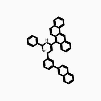 NC(N/C(=C\Cc1cccc(-c2ccc3ccccc3c2)c1)c1c2ccccc2cc2c1ccc1ccccc12)c1ccccc1